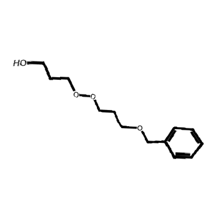 OCCCOOCCCOCc1ccccc1